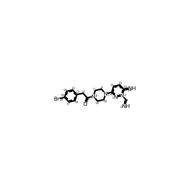 N=Cn1nc(N2CCN(C(=O)Cc3ccc(Br)cc3)CC2)ccc1=N